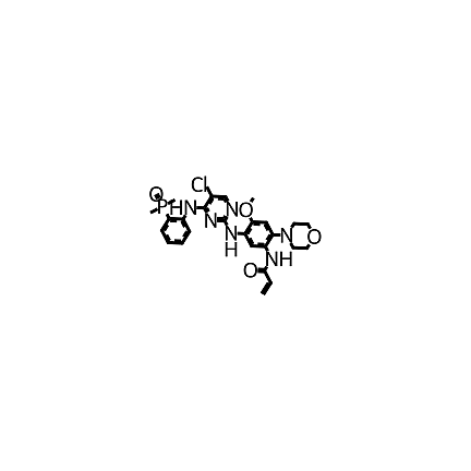 C=CC(=O)Nc1cc(Nc2ncc(Cl)c(Nc3ccccc3P(C)(C)=O)n2)c(OC)cc1N1CCOCC1